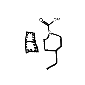 CCC1CCN(C(=O)O)CC1.c1cc2ccc1-2